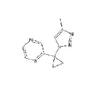 Cc1cn(C2(c3cnccn3)CC2)nn1